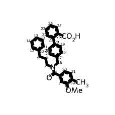 COc1cc(C(=O)N(CCCc2ccccc2)Cc2ccc(-c3ccccc3C(=O)O)cc2)ccc1C